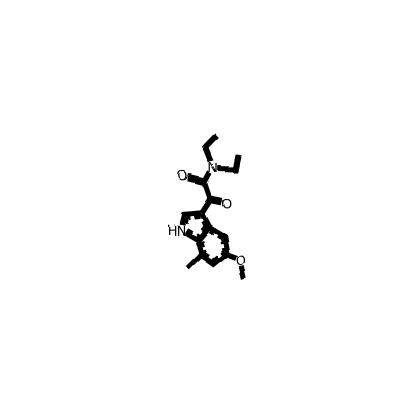 CCN(CC)C(=O)C(=O)c1c[nH]c2c(C)cc(OC)cc12